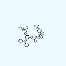 CC(C)(C)OC(=O)COc1cc(OCC(=O)OC(C)(C)C)cc([S+](c2ccccc2)c2ccccc2)c1.O=S(=O)([O-])c1ccc(C(F)(F)F)cc1